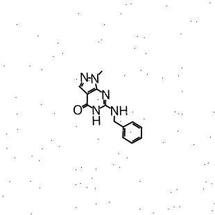 Cn1ncc2c(=O)[nH]c(NCc3ccccc3)nc21